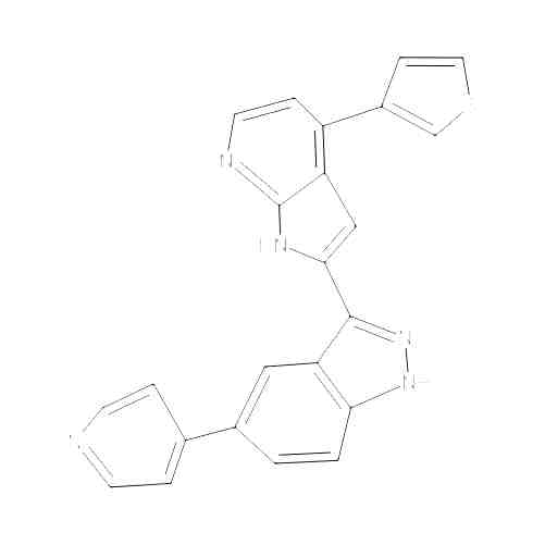 c1cc(-c2ccc3[nH]nc(-c4cc5c(-c6ccsc6)ccnc5[nH]4)c3c2)ccn1